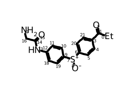 CCC(=O)c1ccc([S+]([O-])c2ccc(NC(=O)CN)cc2)cc1